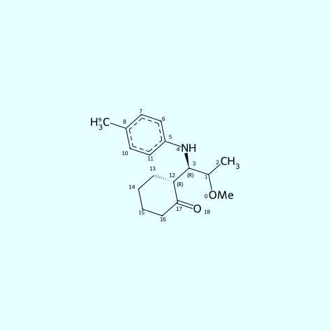 COC(C)[C@H](Nc1ccc(C)cc1)[C@H]1CCCCC1=O